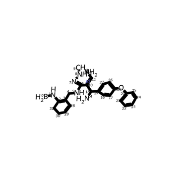 BNC1=C(CNC(=NNC)/C(=C\N)C(N)c2ccc(Oc3ccccc3)cc2)C=CCC1